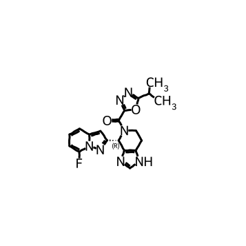 CC(C)c1nnc(C(=O)N2CCc3[nH]cnc3[C@@H]2c2cc3cccc(F)n3n2)o1